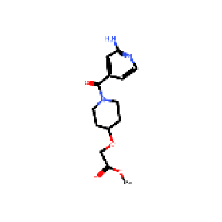 CC(C)(C)OC(=O)COC1CCN(C(=O)c2ccnc(N)c2)CC1